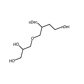 CCCCCCCCCCCCC(CCCCCCCCCC)COCC(O)CO